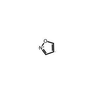 [C]1=CO[N+]=C1